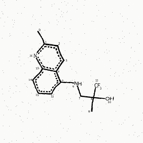 Cc1ccc2c(NCC(C)(O)C(F)(F)F)cccc2n1